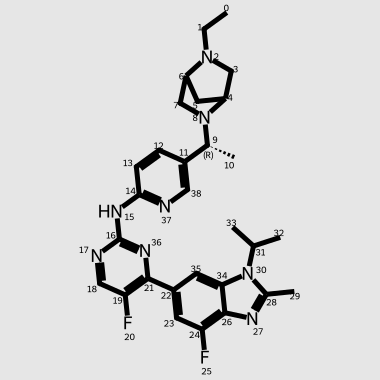 CCN1CC2CC1CN2[C@H](C)c1ccc(Nc2ncc(F)c(-c3cc(F)c4nc(C)n(C(C)C)c4c3)n2)nc1